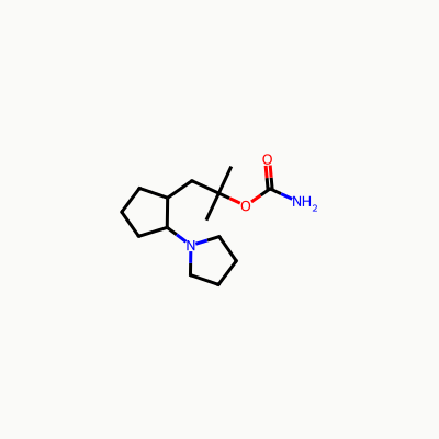 CC(C)(CC1CCCC1N1CCCC1)OC(N)=O